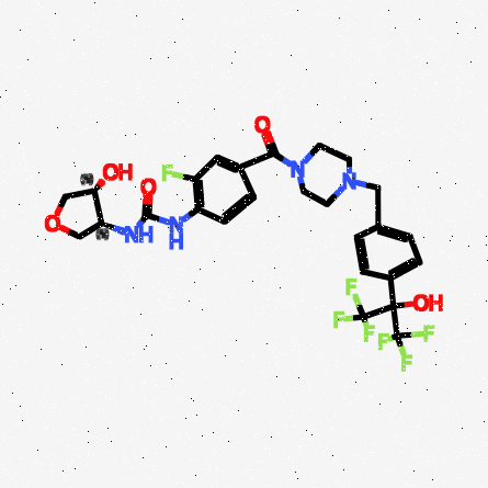 O=C(Nc1ccc(C(=O)N2CCN(Cc3ccc(C(O)(C(F)(F)F)C(F)(F)F)cc3)CC2)cc1F)N[C@H]1COC[C@H]1O